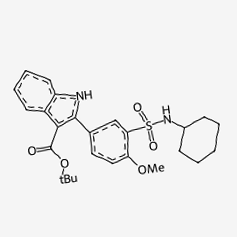 COc1ccc(-c2[nH]c3ccccc3c2C(=O)OC(C)(C)C)cc1S(=O)(=O)NC1CCCCC1